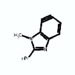 CCCc1nc2ccc#cc2n1C